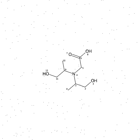 CC(CO)N(CC(=O)O)C(C)CO